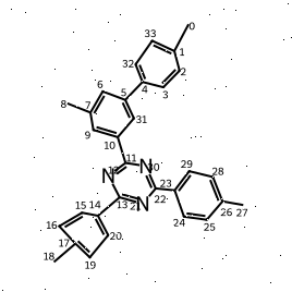 Cc1ccc(-c2cc(C)cc(-c3nc(-c4ccc(C)cc4)nc(-c4ccc(C)cc4)n3)c2)cc1